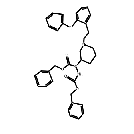 O=C(NN(C(=O)OCc1ccccc1)C1CCCN(CCc2ccccc2Oc2ccccc2)C1)OCc1ccccc1